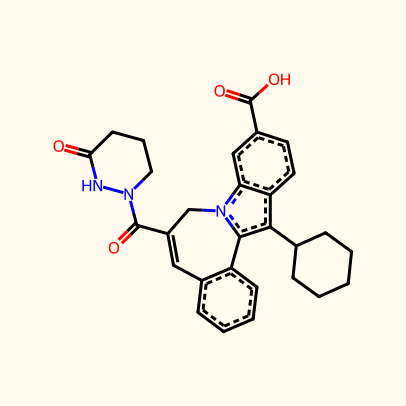 O=C1CCCN(C(=O)C2=Cc3ccccc3-c3c(C4CCCCC4)c4ccc(C(=O)O)cc4n3C2)N1